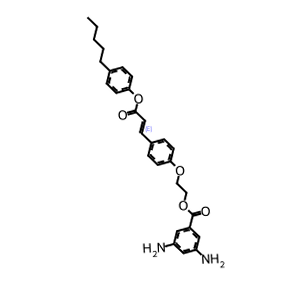 CCCCCc1ccc(OC(=O)/C=C/c2ccc(OCCOC(=O)c3cc(N)cc(N)c3)cc2)cc1